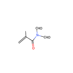 C=C(C)C(=O)N(C=O)C=O